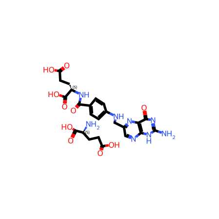 N[C@@H](CCC(=O)O)C(=O)O.Nc1nc(=O)c2nc(CNc3ccc(C(=O)N[C@@H](CCC(=O)O)C(=O)O)cc3)cnc2[nH]1